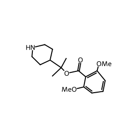 COc1cccc(OC)c1C(=O)OC(C)(C)C1CCNCC1